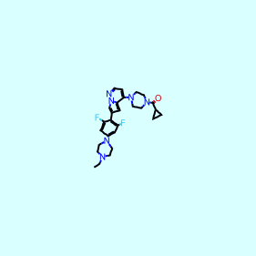 CCN1CCN(c2cc(F)c(-c3cc4c(N5CCN(C(=O)C6CC6)CC5)ccnn4c3)c(F)c2)CC1